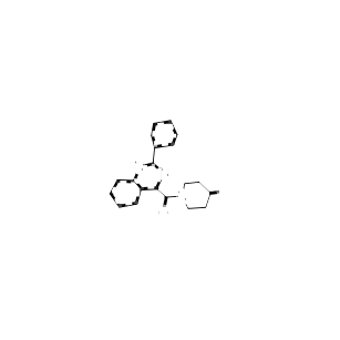 O=C1CCN(C(=O)c2nc(-c3ccccc3)nc3ccccc23)CC1